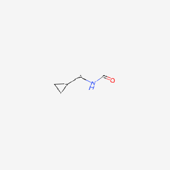 O=CN[CH]C1CC1